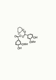 COc1cc(C(=O)O[C@@H]2CCCC[C@H]2OC(=O)c2ccc(O)c(OC)c2)ccc1O